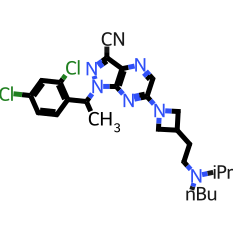 CCCCN(CCC1CN(c2cnc3c(C#N)nn(C(C)c4ccc(Cl)cc4Cl)c3n2)C1)C(C)C